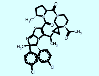 CC(=O)N1CCN(C(=O)[C@@H]2CC[C@@H](C)N2C(=O)C2=C(C(C)C)N3C(=N[C@@](C)(c4ccc(Cl)cc4)[C@H]3c3ccc(Cl)cc3)S2)CC12CC2